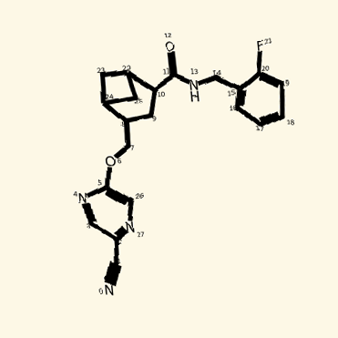 N#Cc1cnc(OCC2CC(C(=O)NCc3ccccc3F)C3CC2C3)cn1